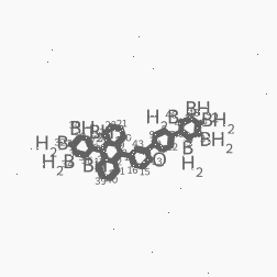 Bc1c(B)c(B)c(-c2ccc3c(c2)oc2ccc(-c4c5ccccc5c(-c5c(B)c(B)c(B)c(B)c5B)c5ccccc45)cc23)c(B)c1B